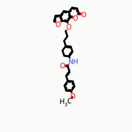 COc1ccc(/C=C/C(=O)NC2=CC=C(CCCOc3c4occc4cc4ccc(=O)oc34)CC2)cc1